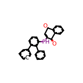 O=C1C=C(Pc2cccc(-c3ccccc3)c2-c2ccccc2)C(=O)c2ccccc21